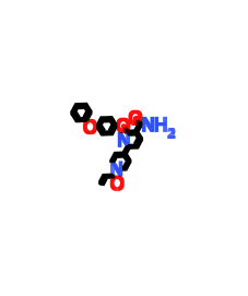 C=CC(=O)N1CC=C(c2ccc(C(N)=O)c(Oc3ccc(Oc4ccccc4)cc3)n2)CC1